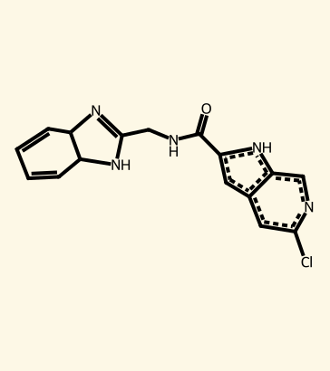 O=C(NCC1=NC2C=CC=CC2N1)c1cc2cc(Cl)ncc2[nH]1